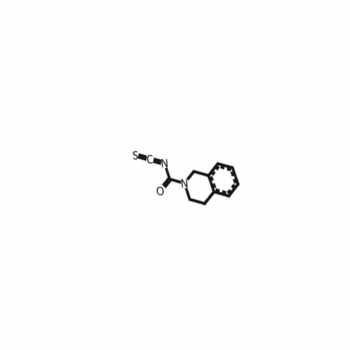 O=C(N=C=S)N1CCc2ccccc2C1